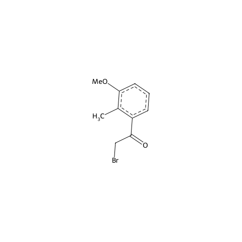 COc1cccc(C(=O)CBr)c1C